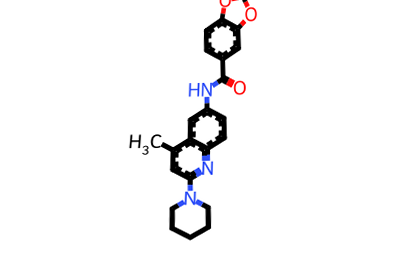 Cc1cc(N2CCCCC2)nc2ccc(NC(=O)c3ccc4c(c3)OCO4)cc12